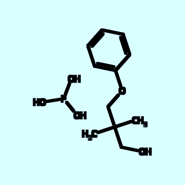 CC(C)(CO)COc1ccccc1.OP(O)O